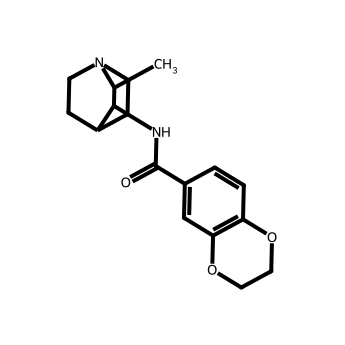 CC1C(NC(=O)c2ccc3c(c2)OCCO3)C2CCN1CC2